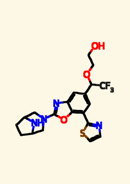 OCCOC(c1cc(-c2nccs2)c2oc(N3CC4CCC(C3)N4)nc2c1)C(F)(F)F